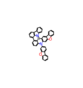 c1cc2c3c(c1)N(c1ccc4c(c1)oc1ccccc14)c1cc4oc5ccccc5c4cc1B3n1c3ccccc3c3cccc-2c31